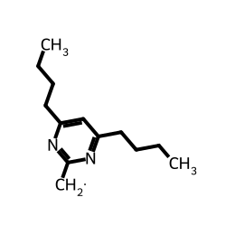 [CH2]c1nc(CCCC)cc(CCCC)n1